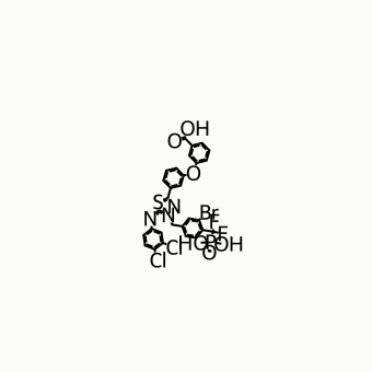 O=C(O)c1cccc(Oc2cccc(-c3nn(Cc4ccc(C(F)(F)P(=O)(O)O)c(Br)c4)/c(=N\c4ccc(Cl)c(Cl)c4)s3)c2)c1